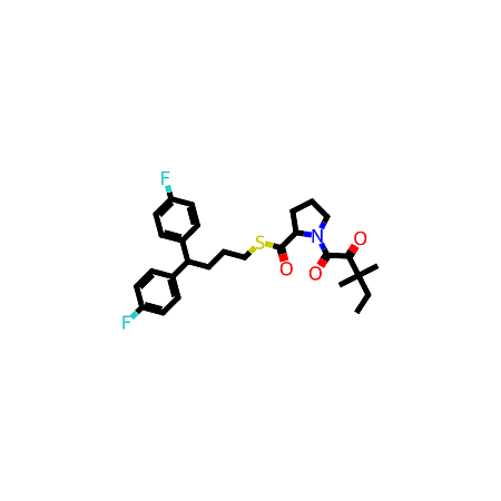 CCC(C)(C)C(=O)C(=O)N1CCCC1C(=O)SCCCC(c1ccc(F)cc1)c1ccc(F)cc1